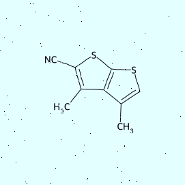 Cc1csc2sc(C#N)c(C)c12